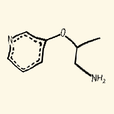 CC(CN)Oc1cccnc1